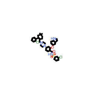 CC1(C)CCC(CN2CCN(c3ccc(C(=O)NS(=O)(=O)c4cccc(Cl)c4)c(Oc4ccc5[nH]ccc5c4)c3)CC2)=C(c2ccccc2Cl)C1